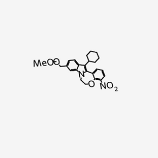 COOCc1ccc2c(C3CCCCC3)c3n(c2c1)CCOc1c-3cccc1[N+](=O)[O-]